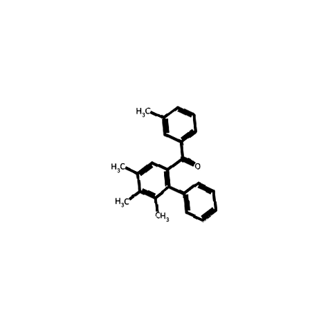 Cc1cccc(C(=O)c2cc(C)c(C)c(C)c2-c2ccccc2)c1